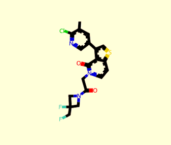 Cc1cc(-c2csc3ccn(CC(=O)N4CC(F)(CF)C4)c(=O)c23)cnc1Cl